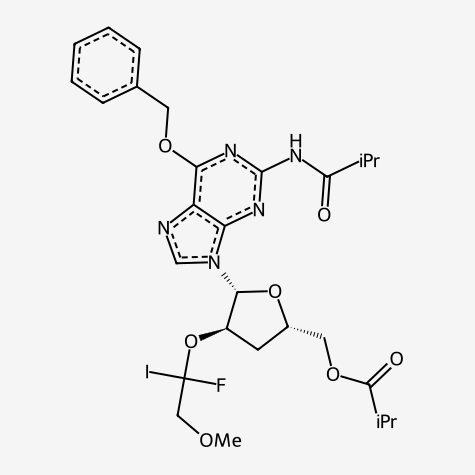 COCC(F)(I)O[C@@H]1C[C@@H](COC(=O)C(C)C)O[C@H]1n1cnc2c(OCc3ccccc3)nc(NC(=O)C(C)C)nc21